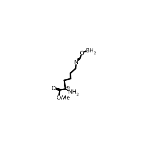 BOC=NCCCC[C@@H](N)C(=O)OC